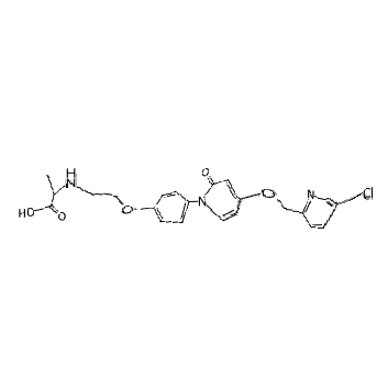 CC(NCCOc1ccc(-n2ccc(OCc3ccc(Cl)cn3)cc2=O)cc1)C(=O)O